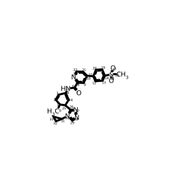 CC1C=CC(NC(=O)c2cc(-c3ccc(S(C)(=O)=O)cc3)ccn2)=CC1c1nncn1C1CC1